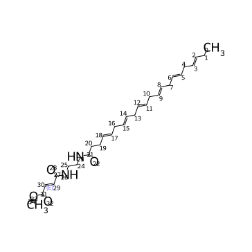 CCC=CCC=CCC=CCC=CCC=CCC=CCCC(=O)NCCNC(=O)/C=C/C(=O)OC